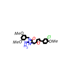 COc1cc(CN2C(=O)/C(=C\c3ccc(-c4ccc(OC)c(Cl)c4)o3)N=C2N)cc(OC)c1